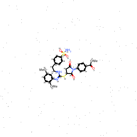 COC(=O)c1ccc(N2C(=O)CC(S/C(=N/c3cc(OC)ccc3OC)NCCc3ccc(S(N)(=O)=O)cc3)C2=O)cc1